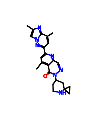 Cc1cn2nc(-c3cc(C)c4c(=O)n(C5CCNC6(CC6)C5)ncc4n3)cc(C)c2n1